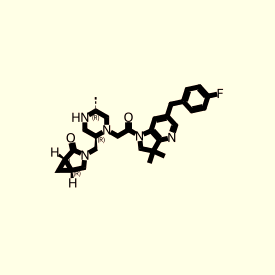 C[C@@H]1CN(CC(=O)N2CC(C)(C)c3ncc(Cc4ccc(F)cc4)cc32)[C@@H](CN2C[C@@H]3C[C@@H]3C2=O)CN1